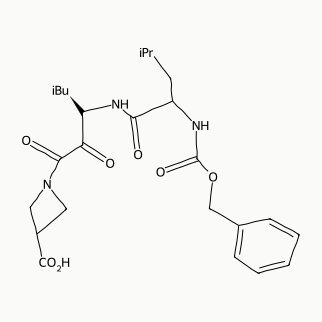 CC[C@H](C)C(NC(=O)C(CC(C)C)NC(=O)OCc1ccccc1)C(=O)C(=O)N1CC(C(=O)O)C1